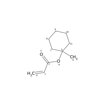 C=CC(=O)OC1(C)CCCCC1